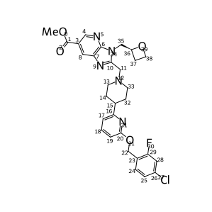 COC(=O)c1cnc2c(c1)nc(CN1CCC(c3cccc(OCc4ccc(Cl)cc4F)n3)CC1)n2C[C@@H]1CCO1